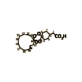 O=C(O)CC1CCC2(CC1)OOC1(CCCCCCCCCCC1)OO2